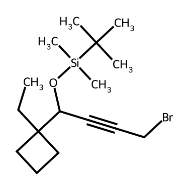 CCC1(C(C#CCBr)O[Si](C)(C)C(C)(C)C)CCC1